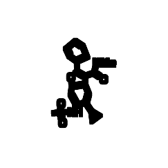 CNC(=O)c1c(-c2ccccc2)oc2cc(NS(C)(=O)=O)c(C3CC3)cc12